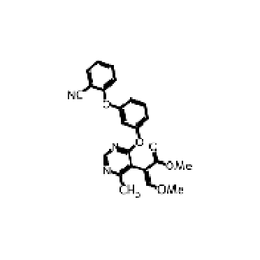 COC=C(C(=O)OC)c1c(C)ncnc1Oc1cccc(Oc2ccccc2C#N)c1